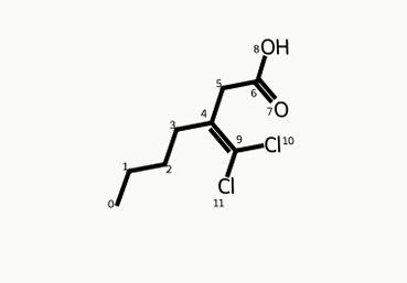 CCCCC(CC(=O)O)=C(Cl)Cl